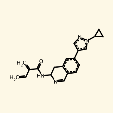 C=CC(=C)C(=O)NC1Cc2cc(-c3cnn(C4CC4)c3)ccc2C=N1